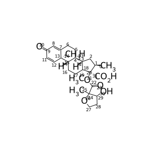 C[C@@H]1C[C@H]2[C@@H]3CCC4=CC(=O)C=C[C@]4(C)[C@H]3CC[C@]2(C)[C@@]1(OC(=O)C1(C)OCCC1O)C(=O)O